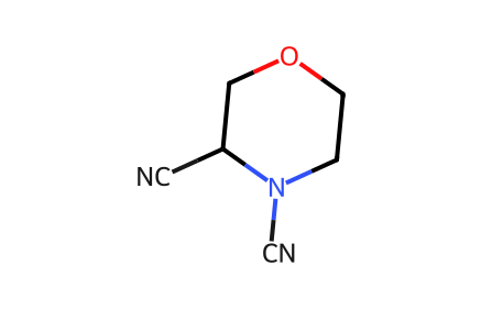 N#CC1COCCN1C#N